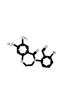 Cc1cc2c(cc1C)C(=O)N(c1cccc(Br)c1C=O)CCO2